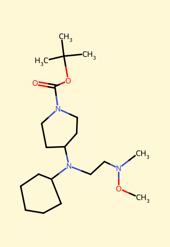 CON(C)CCN(C1CCCCC1)C1CCN(C(=O)OC(C)(C)C)CC1